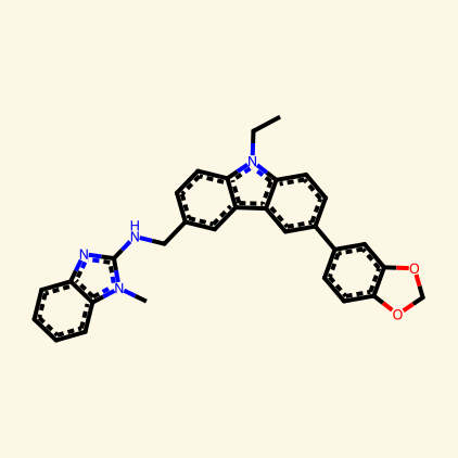 CCn1c2ccc(CNc3nc4ccccc4n3C)cc2c2cc(-c3ccc4c(c3)OCO4)ccc21